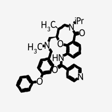 CC(C)N1C[C@@H](C)[C@H](CN(C)Cc2ccc(Oc3ccccc3)cc2)Oc2c(NC(=O)c3ccncc3)cccc2C1=O